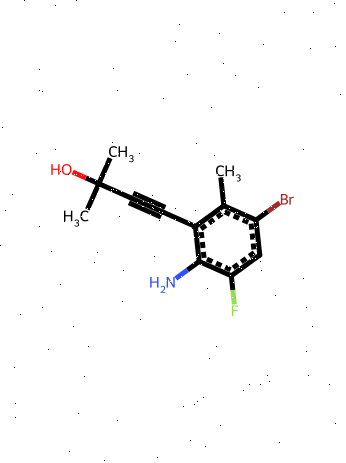 Cc1c(Br)cc(F)c(N)c1C#CC(C)(C)O